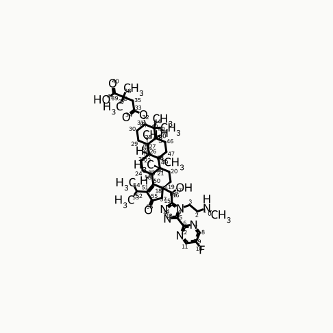 CNCCn1c(-c2ncc(F)cn2)nnc1[C@H](O)[C@@]12CC[C@]3(C)[C@H](CC[C@@H]4[C@@]5(C)CC[C@H](OC(=O)CC(C)(C)C(=O)O)C(C)(C)[C@@H]5CC[C@]43C)C1=C(C(C)C)C(=O)C2